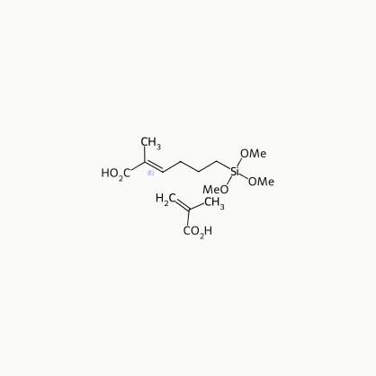 C=C(C)C(=O)O.CO[Si](CCC/C=C(\C)C(=O)O)(OC)OC